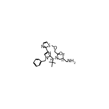 COCC(=O)N(C[C@@H](F)CN)[C@@H](c1nc(-c2nccs2)cn1Cc1ccccc1)C(C)(C)C